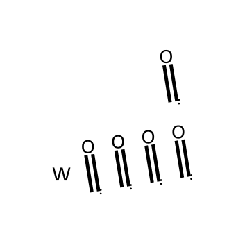 [C]=O.[C]=O.[C]=O.[C]=O.[C]=O.[W]